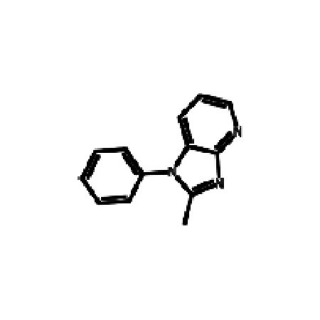 Cc1nc2ncccc2n1-c1cc[c]cc1